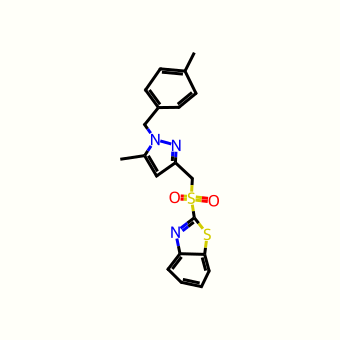 Cc1ccc(Cn2nc(CS(=O)(=O)c3nc4ccccc4s3)cc2C)cc1